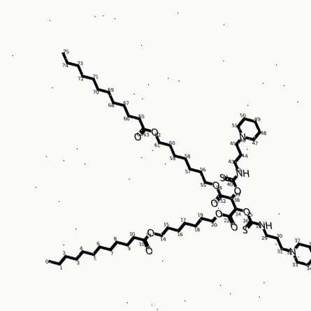 CCCCCCCCCCCC(=O)OCCCCCCCOC(=O)C(OC(=S)NCCCN1CCCCC1)C(OC(=S)NCCCN1CCCCC1)C(=O)OCCCCCCCOC(=O)CCCCCCCCCCC